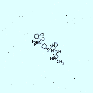 Cc1cc(Nc2nc(Sc3ccc(NC(=O)c4c(Cl)cccc4C(F)(F)F)cc3)nn3cccc23)n[nH]1